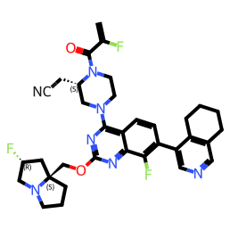 C=C(F)C(=O)N1CCN(c2nc(OC[C@@]34CCCN3C[C@H](F)C4)nc3c(F)c(-c4cncc5c4CCCC5)ccc23)C[C@@H]1CC#N